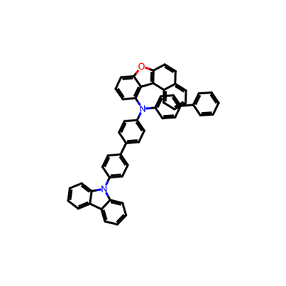 c1ccc(-c2ccc(N(c3ccc(-c4ccc(-n5c6ccccc6c6ccccc65)cc4)cc3)c3cccc4oc5ccc6ccccc6c5c34)cc2)cc1